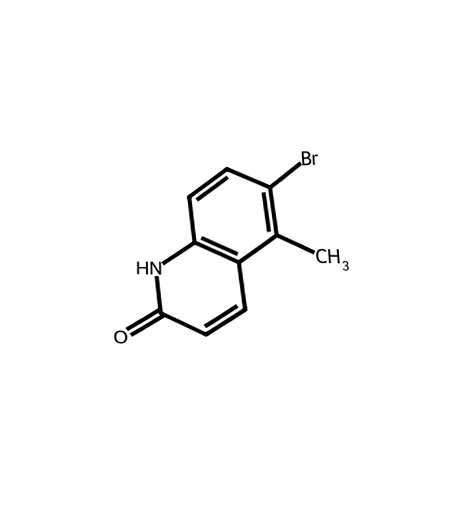 Cc1c(Br)ccc2[nH]c(=O)ccc12